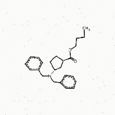 CCCCOC(=O)[C@@H]1CC[C@@H](N(Cc2ccccc2)Cc2ccccc2)C1